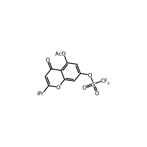 CC(=O)Oc1cc(OS(=O)(=O)C(F)(F)F)cc2oc(C(C)C)cc(=O)c12